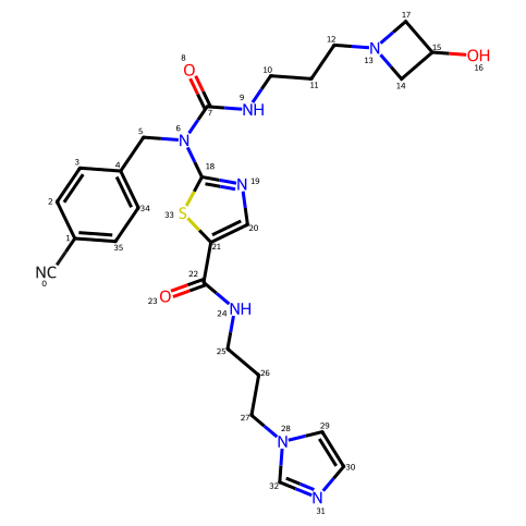 N#Cc1ccc(CN(C(=O)NCCCN2CC(O)C2)c2ncc(C(=O)NCCCn3ccnc3)s2)cc1